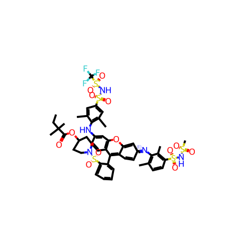 CCC(C)(C)C(=O)OC1CCN(S(=O)(=O)c2ccccc2-c2c3cc/c(=N\c4c(C)ccc(S(=O)(=O)NS(C)(=O)=O)c4C)cc-3oc3cc(Nc4c(C)cc(S(=O)(=O)NS(=O)(=O)C(F)(F)F)cc4C)ccc23)CC1